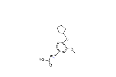 COc1cc(/C=C/C(=O)O)ccc1OC1CCCC1